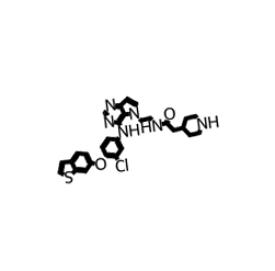 O=C(CC1CCNCC1)NCCn1ccc2ncnc(Nc3ccc(Oc4ccc5ccsc5c4)c(Cl)c3)c21